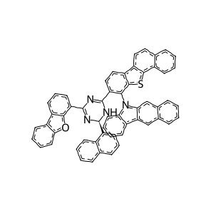 c1ccc2cc3c(cc2c1)c1ccccc1n3-c1c(C2=NC(c3cccc4c3oc3ccccc34)=N[C@H](c3cccc4ccccc34)N2)ccc2c1sc1c3ccccc3ccc21